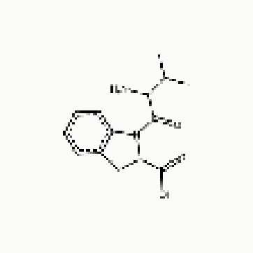 CC(C)C(N)C(=O)N1c2ccccc2CC1C(=O)O